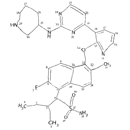 CCC(C)C(c1c(F)ccc2c(Oc3ncccc3-c3ccnc(NC4CCCNC4)n3)c(C)ccc12)S(N)(=O)=O